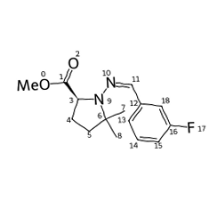 COC(=O)[C@@H]1CCC(C)(C)N1/N=C\c1cccc(F)c1